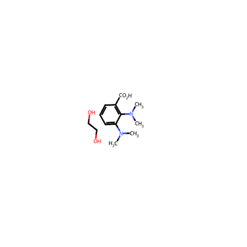 CN(C)c1cccc(C(=O)O)c1N(C)C.OCCO